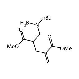 BN(CCCC)CC(CC(=C)C(=O)OC)C(=O)OC